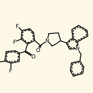 O=C(c1ccc(F)c(F)c1)c1c(C(=O)N2CCC(c3cn(Cc4ccccc4)c4ccccc34)C2)ccc(F)c1F